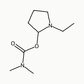 CCN1CCCC1OC(=O)N(C)C